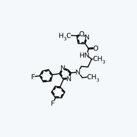 CCN(CCC(C)NC(=O)c1cc(C)on1)c1cnc(-c2ccc(F)cc2)c(-c2ccc(F)cc2)n1